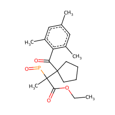 CCOC(=O)C(C)(P=O)C1(C(=O)c2c(C)cc(C)cc2C)CCCC1